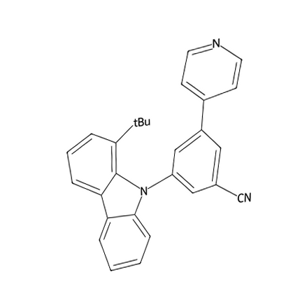 CC(C)(C)c1cccc2c3ccccc3n(-c3cc(C#N)cc(-c4ccncc4)c3)c12